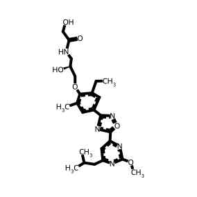 CCc1cc(-c2noc(-c3cc(CC(C)C)nc(OC)n3)n2)cc(C)c1OC[C@@H](O)CNC(=O)CO